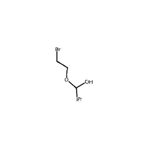 CC(C)C(O)OCCBr